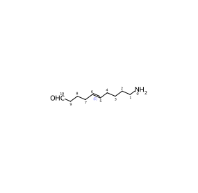 NCCCC/C=C/CCCC=O